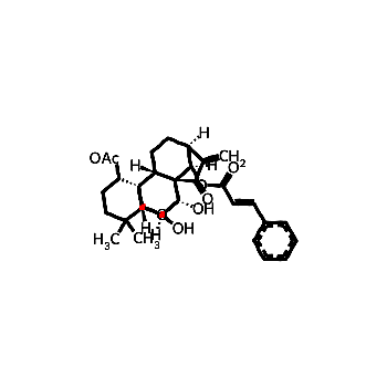 C=C1C(=O)[C@]23[C@H](OC(=O)/C=C/c4ccccc4)[C@H]1CC[C@H]2[C@@]12CO[C@@]3(O)[C@@H](O)[C@@H]1C(C)(C)CCC2OC(C)=O